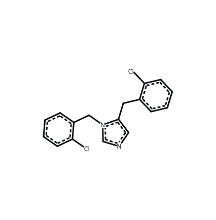 Clc1ccccc1Cc1cncn1Cc1ccccc1Cl